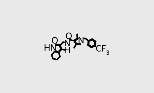 Cc1cn(Cc2ccc(C(F)(F)F)cc2)c(C)c1C(=O)NCc1c(C)c2c([nH]c1=O)CCCC2